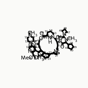 CCn1c(-c2cc(N3CCN(C)CC3)cnc2[C@H](C)OC)c2c3cc(ccc31)-c1csc(n1)C[C@H](NC(=O)C(C1CCCC1)N(C)C(=O)N1CCC1)C(=O)N1CCC[C@H](N1)C(=O)OCC(C)(C)C2